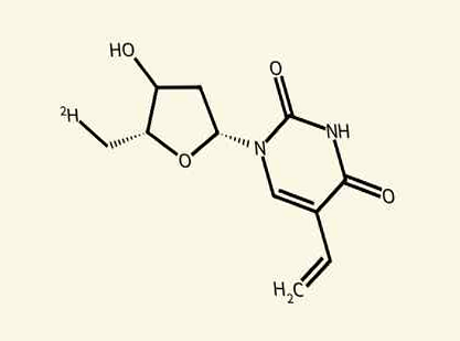 [2H]C[C@H]1O[C@@H](n2cc(C=C)c(=O)[nH]c2=O)CC1O